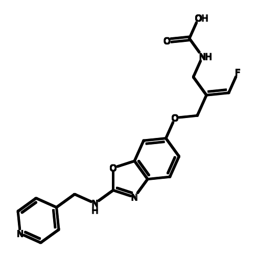 O=C(O)NC/C(=C\F)COc1ccc2nc(NCc3ccncc3)oc2c1